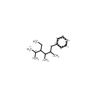 CCC([C](C)C(C)Cc1ccncc1)C(C)C